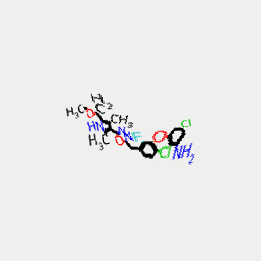 C=C(OCC)c1[nH]c(C)c(-c2nnc(Cc3ccc(Cl)c(Oc4cc(N)cc(Cl)c4)c3F)o2)c1C